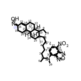 CC(CCC[C@@H](C)[C@H]1CC[C@H]2[C@@H]3CCC4=C/C(=N\O)CC[C@]4(C)[C@H]3CC[C@]12C)N(C)c1ccc([N+](=O)[O-])c2nonc12